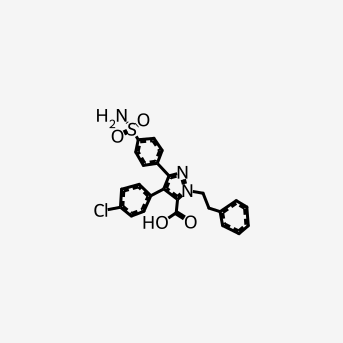 NS(=O)(=O)c1ccc(-c2nn(CCc3ccccc3)c(C(=O)O)c2-c2ccc(Cl)cc2)cc1